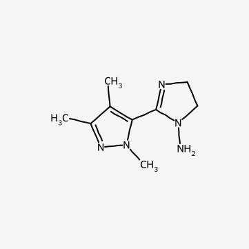 Cc1nn(C)c(C2=NCCN2N)c1C